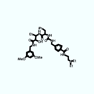 CCC(NC(=O)C(CC(C)C)NC(=O)NCc1ccc(C(=O)NCCN(CC)CC)cc1)C(O)C(=O)NCc1cc(OC)cc(OC)c1